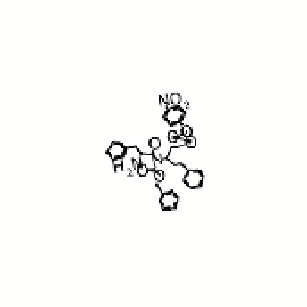 N[C@@H](Cc1ccccc1)C(=O)N(C(=O)OCc1ccccc1)C(CCc1ccccc1)CCS(=O)(=O)Oc1ccc([N+](=O)[O-])cc1